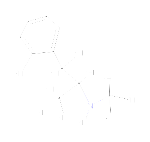 [2H]c1ccccc1C([2H])([2H])C([2H])(N([2H])C([2H])([2H])[2H])C([2H])([2H])[2H]